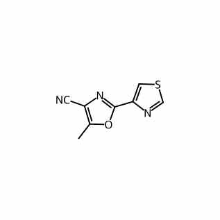 Cc1oc(-c2cscn2)nc1C#N